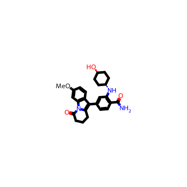 COc1ccc2c(-c3ccc(C(N)=O)c(N[C@H]4CC[C@H](O)CC4)c3)c3n(c2c1)C(=O)CCC3